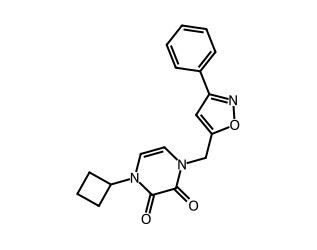 O=c1c(=O)n(C2CCC2)ccn1Cc1cc(-c2ccccc2)no1